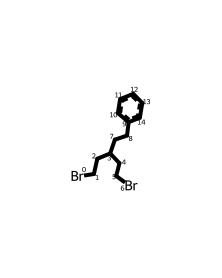 BrCCC(CCBr)CCc1ccccc1